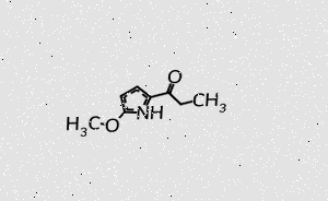 CCC(=O)c1ccc(OC)[nH]1